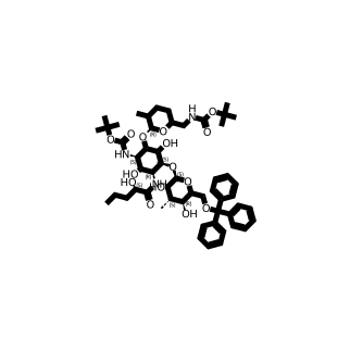 CCC[C@H](O)C(=O)N[C@@H]1C(O)[C@H](NC(=O)OC(C)(C)C)C(O[C@H]2OC(CNC(=O)OC(C)(C)C)CCC2C)C(O)[C@H]1O[C@H]1OC(COC(c2ccccc2)(c2ccccc2)c2ccccc2)[C@H](O)[C@H](C)C1O